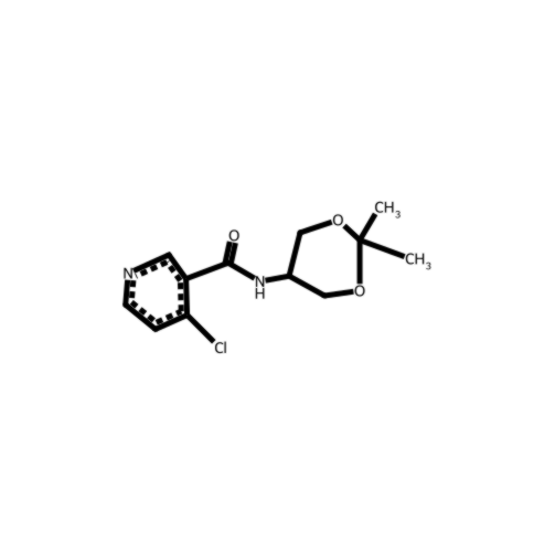 CC1(C)OCC(NC(=O)c2cnccc2Cl)CO1